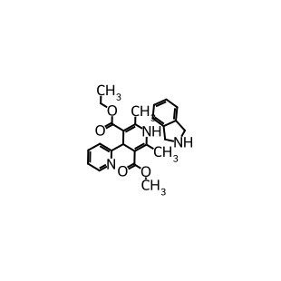 CCOC(=O)C1=C(C)NC(C)=C(C(=O)OC)C1c1ccccn1.c1ccc2c(c1)CNC2